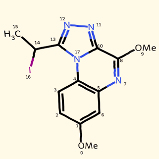 COc1ccc2c(c1)nc(OC)c1nnc(C(C)I)n12